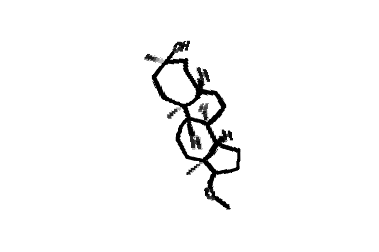 COC1CC[C@H]2[C@@H]3CC[C@H]4C[C@](C)(O)CC[C@]4(C)[C@H]3CC[C@]12C